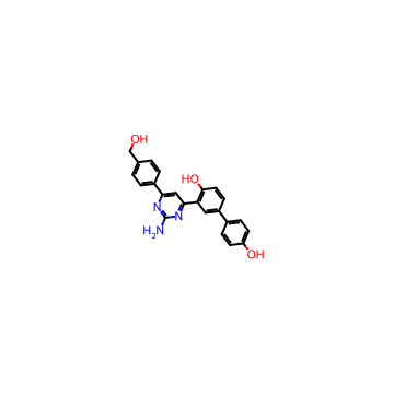 Nc1nc(-c2ccc(CO)cc2)cc(-c2cc(-c3ccc(O)cc3)ccc2O)n1